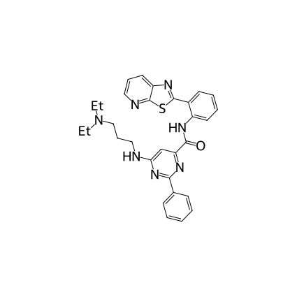 CCN(CC)CCCNc1cc(C(=O)Nc2ccccc2-c2nc3cccnc3s2)nc(-c2ccccc2)n1